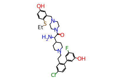 CCSc1ccc(O)cc1CN1CCN(C(=O)[C@H](N)C2CCN(CCc3cc(Cl)ccc3-c3cc(O)cc(F)c3)CC2)CC1